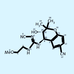 COCCNC(=NC#N)N[C@@H]1c2cc(C#N)ccc2OC(C)(C)[C@H]1O